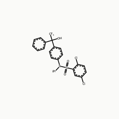 CC(C)N(c1ccc(C(O)(c2ccccc2)C(F)(F)F)cc1)S(=O)(=O)c1cc(Cl)ccc1Cl